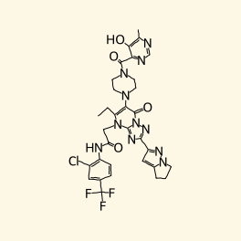 CCc1c(N2CCN(C(=O)c3ncnc(C)c3O)CC2)c(=O)n2nc(-c3cc4n(n3)CCC4)nc2n1CC(=O)Nc1ccc(C(F)(F)F)cc1Cl